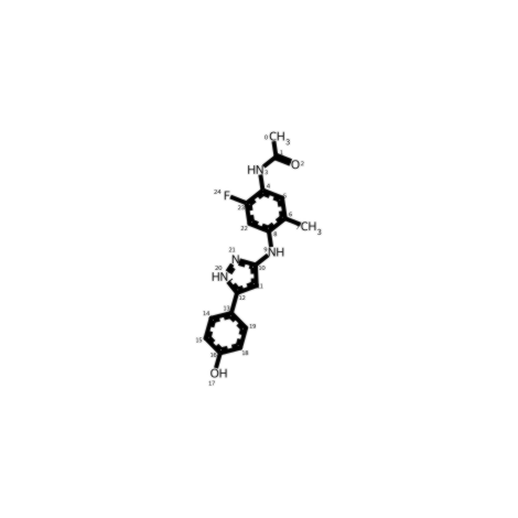 CC(=O)Nc1cc(C)c(Nc2cc(-c3ccc(O)cc3)[nH]n2)cc1F